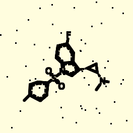 Cc1ccc(S(=O)(=O)n2cc([C@@H]3C[C@@H]3N(C)C)c3cc(F)ccc32)cc1